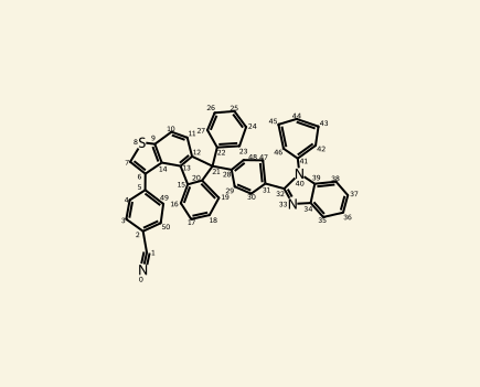 N#Cc1ccc(-c2csc3ccc4c(c23)-c2ccccc2C4(c2ccccc2)c2ccc(-c3nc4ccccc4n3-c3ccccc3)cc2)cc1